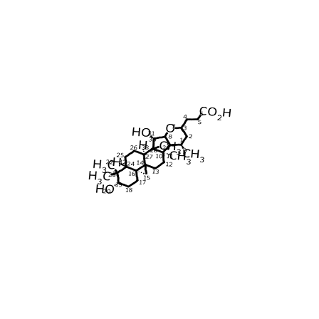 C[C@@H]1CC(CCC(=O)O)OC2C1[C@@]1(C)CCC34C[C@@]35CC[C@H](O)C(C)(C)[C@@H]5CC[C@H]4C1(C)[C@H]2O